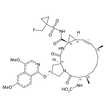 COc1ccc2c(O[C@@H]3C[C@H]4C(=O)N[C@]5(C(=O)NS(=O)(=O)C6(CF)CC6)C[C@H]5/C=C\[C@@H](C)CCC[C@@H](C)[C@H](NC(=O)O)C(=O)N4C3)ncc(OC)c2c1